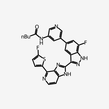 CCCCC(=O)Nc1cncc(-c2cc(F)c3[nH]nc(-c4nc5c(-c6ccc(F)s6)nccc5[nH]4)c3c2)c1